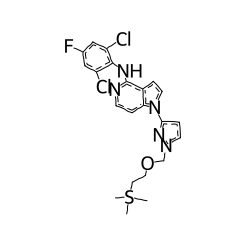 CS(C)(C)CCOCn1ccc(-n2ccc3c(Nc4c(Cl)cc(F)cc4Cl)nccc32)n1